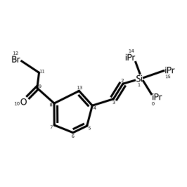 CC(C)[Si](C#Cc1cccc(C(=O)CBr)c1)(C(C)C)C(C)C